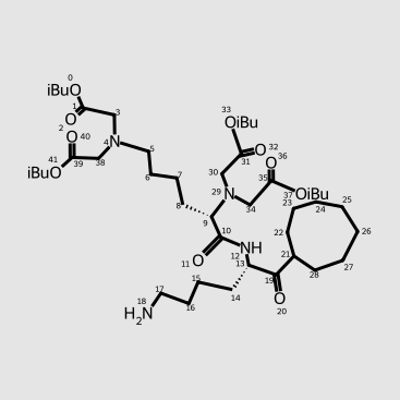 CC(C)COC(=O)CN(CCCC[C@@H](C(=O)N[C@@H](CCCCN)C(=O)C1CCCCCCC1)N(CC(=O)OCC(C)C)CC(=O)OCC(C)C)CC(=O)OCC(C)C